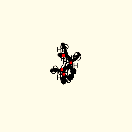 CN1C(=O)[C@H](C[C@@H](O)CNC(=O)OC(C)(C)C)NC(=O)[C@@H](NC(=O)OC(C)(C)C)Cc2cc(ccc2O)-c2cccc(c2)C[C@H]1C(=O)N[C@@H](CCCNC(=O)OC(C)(C)C)CC(=O)NCC(CCCNC(=O)OC(C)(C)C)NC(=O)OC(C)(C)C